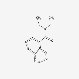 CCN(CC)C(=O)c1ccnc2ccccc12